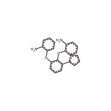 Nc1ccccc1Oc1cccc(-c2cccs2)c1Oc1ccccc1N